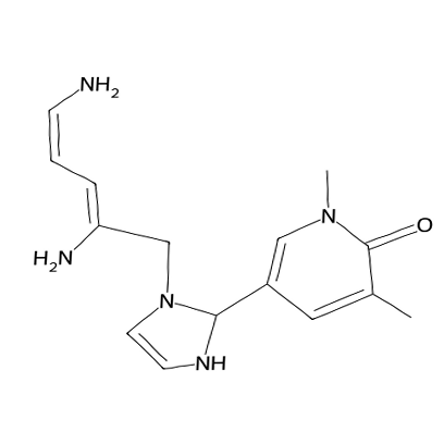 Cc1cc(C2NC=CN2C/C(N)=C/C=C\N)cn(C)c1=O